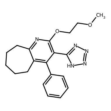 COCCOc1nc2c(c(-c3ccccc3)c1-c1nnn[nH]1)CCCCC2